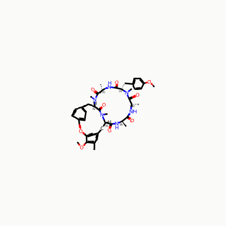 COc1ccc(C[C@H]2C(=O)N[C@@H](C)C(=O)N(C)[C@H]3Cc4ccc(cc4)Oc4cc(cc(C)c4OC)C[C@@H](C(=O)N[C@H](C)C(=O)N[C@@H](C)C(=O)N2C)N(C)C3=O)cc1